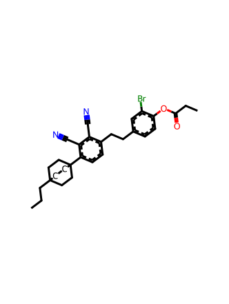 CCCC12CCC(c3ccc(CCc4ccc(OC(=O)CC)c(Br)c4)c(C#N)c3C#N)(CC1)CC2